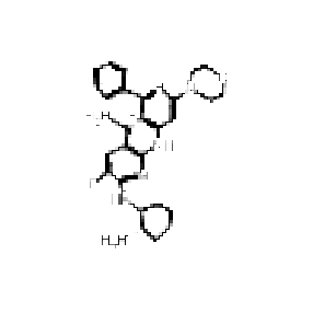 NC(=O)c1cc(F)c(NC2CCCC[C@@H]2N)nc1Nc1cc(-c2ccccc2)nc(N2CCOCC2)c1